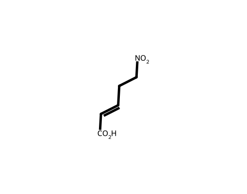 O=C(O)C=CCC[N+](=O)[O-]